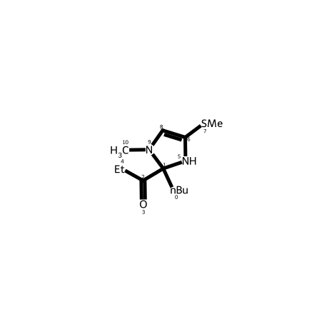 CCCCC1(C(=O)CC)NC(SC)=CN1C